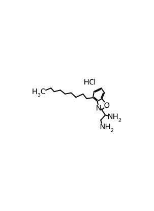 CCCCCCCCCc1cccc2oc(C(N)CN)nc12.Cl